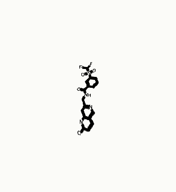 O=C(NCc1cc2nc(Cl)ccc2cn1)c1cccc(S(=O)(=O)C(F)F)c1